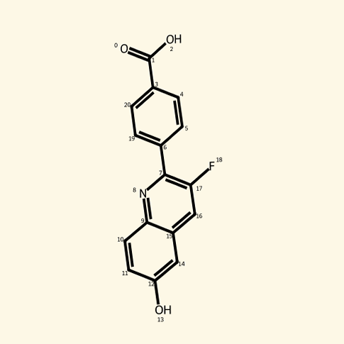 O=C(O)c1ccc(-c2nc3ccc(O)cc3cc2F)cc1